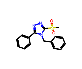 CS(=O)(=O)c1nnc(-c2ccccc2)n1Cc1ccccc1